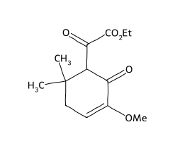 CCOC(=O)C(=O)C1C(=O)C(OC)=CCC1(C)C